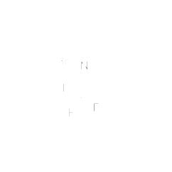 FC(F)(F)c1cccn1Br